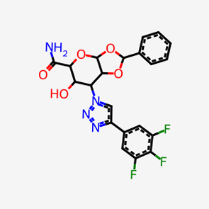 NC(=O)C1OC2OC(c3ccccc3)OC2C(n2cc(-c3cc(F)c(F)c(F)c3)nn2)C1O